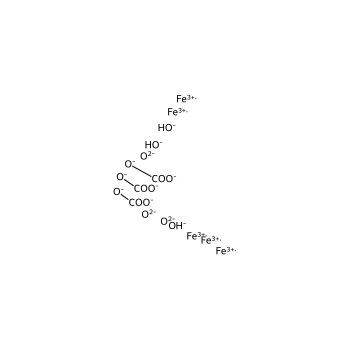 O=C([O-])[O-].O=C([O-])[O-].O=C([O-])[O-].[Fe+3].[Fe+3].[Fe+3].[Fe+3].[Fe+3].[O-2].[O-2].[O-2].[OH-].[OH-].[OH-]